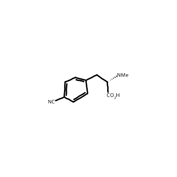 CN[C@@H](Cc1ccc(C#N)cc1)C(=O)O